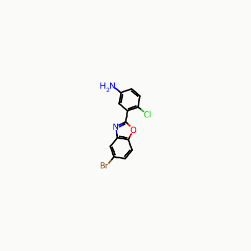 Nc1ccc(Cl)c(-c2nc3cc(Br)ccc3o2)c1